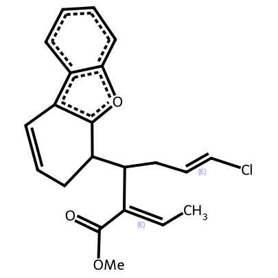 C/C=C(/C(=O)OC)C(C/C=C/Cl)C1CC=Cc2c1oc1ccccc21